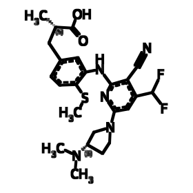 CSc1ccc(C[C@H](C)C(=O)O)cc1Nc1nc(N2CC[C@H](N(C)C)C2)cc(C(F)F)c1C#N